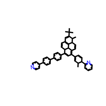 CC1C=C(C2=C3C=CC4C5=C(C=CC(C(c6ccc(-c7ccc(-c8ccncc8)cc7)cc6)=C2)C35)C=C(C(C)(C)C)C4C)C=CC1c1ccccn1